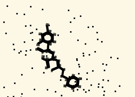 C=C/C(=C\N(/C=C(\C)CCc1ccccc1)C(=C)C)c1ccc(C)cc1C